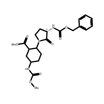 COC(=O)C1CC(NC(=O)OC(C)(C)C)CCC1N1CC[C@H](NC(=O)OCc2ccccc2)C1=O